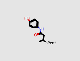 CCCCCC(C)CC(=O)Nc1ccc(O)cc1